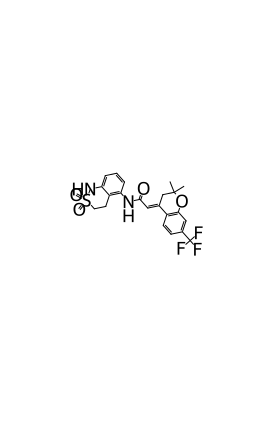 CC1(C)C/C(=C\C(=O)Nc2cccc3c2CCS(=O)(=O)N3)c2ccc(C(F)(F)F)cc2O1